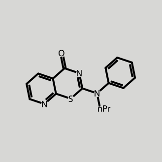 CCCN(c1ccccc1)c1nc(=O)c2cccnc2s1